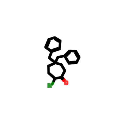 O=C1CCC(Cc2ccccc2)(Cc2ccccc2)CCC1Br